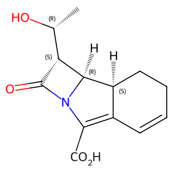 C[C@@H](O)[C@H]1C(=O)N2C(C(=O)O)=C3C=CCC[C@@H]3[C@H]12